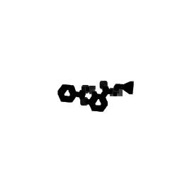 O=C(Oc1cccc(C(=O)NCC2CC2)c1F)c1ccccc1